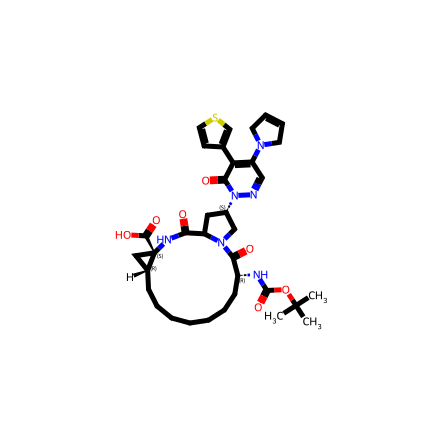 CC(C)(C)OC(=O)N[C@@H]1CCCCCCC[C@@H]2C[C@]2(C(=O)O)NC(=O)C2C[C@H](n3ncc(N4CC=CC4)c(-c4ccsc4)c3=O)CN2C1=O